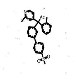 CC(=O)C(c1cccc(-c2ccc(S(C)(=O)=O)cc2)c1)(c1ccnc(C)c1)c1ccccc1C